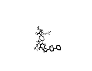 COCCO[C@]1(C(=O)NOC)CC[C@H](c2nc3c(-c4ccc(-c5ccccc5)nc4)cnn3c(N)c2S(C)(=O)=O)CC1